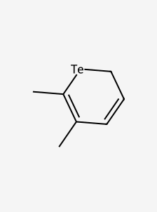 CC1=C(C)[Te]CC=C1